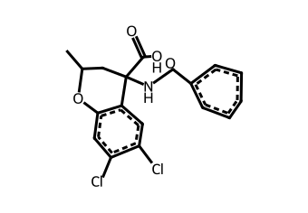 CC1CC(NC(=O)c2ccccc2)(C(=O)O)c2cc(Cl)c(Cl)cc2O1